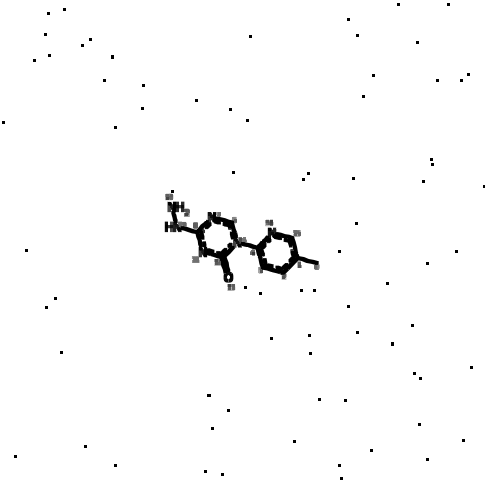 Cc1ccc(-n2cnc(NN)nc2=O)nc1